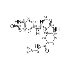 O=C(NCC1CC1)C1CCc2[nH]c3ncnc(Nc4ccc5[nH]c(=O)sc5c4)c3c2C1